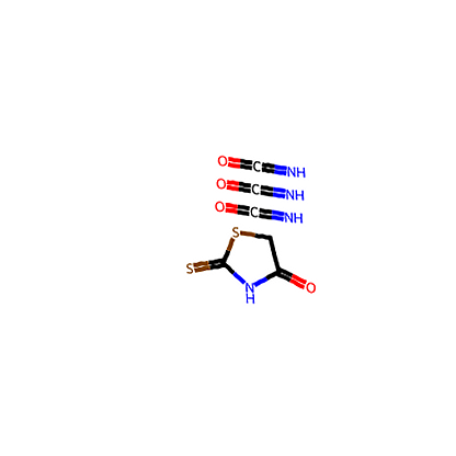 N=C=O.N=C=O.N=C=O.O=C1CSC(=S)N1